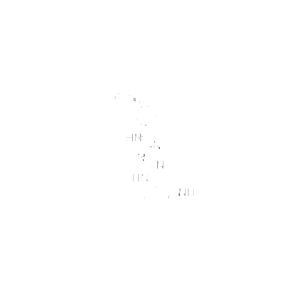 Nc1cccc(Nc2ncnc(Nc3cccc(S(=O)(=O)O)c3)n2)c1